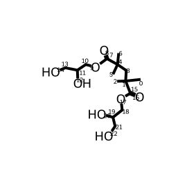 CC(C)(CC(C)(C)C(=O)OCC(O)CO)C(=O)OCC(O)CO